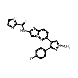 Cn1cc(-c2ccc3nc(NC(=O)c4nccs4)cn3n2)c(-c2ccc(F)cc2)n1